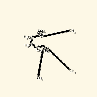 CC#CC#CC#CC#CC#CC#CO[Si](CCCCN(C)CCN(C)CCN(C)CCCC[Si](OC)(OC#CC#CC#CC#CC#CC#CC)OC#CC#CC#CC#CC#CC#CC)(OC)OC